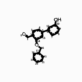 O=Cc1ccc(-c2cccc(O)c2)cc1OCc1ccccc1